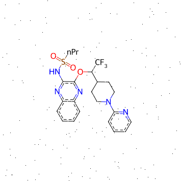 CCCS(=O)(=O)Nc1nc2ccccc2nc1OC(C1CCN(c2ccccn2)CC1)C(F)(F)F